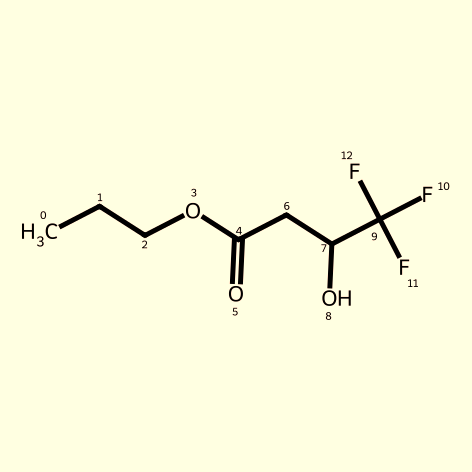 CCCOC(=O)CC(O)C(F)(F)F